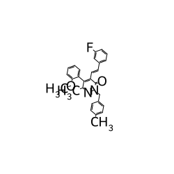 COc1ccccc1-c1c(C)nn(Cc2ccc(C)cc2)c(=O)c1/C=C/c1cccc(F)c1